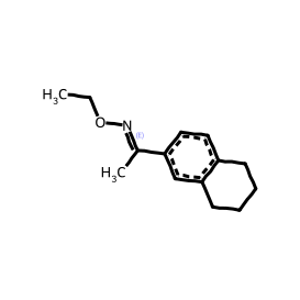 CCO/N=C(\C)c1ccc2c(c1)CCCC2